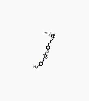 CCOC(=O)c1cn(CCCCc2ccc(OCc3coc(/C=C/c4ccc(C)cc4)n3)cc2)nn1